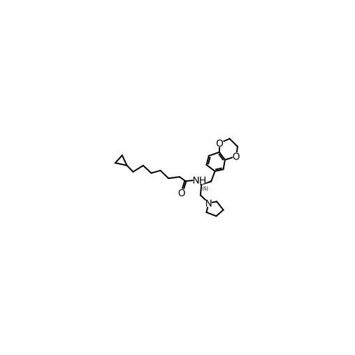 O=C(CCCCCCC1CC1)N[C@@H](Cc1ccc2c(c1)OCCO2)CN1CCCC1